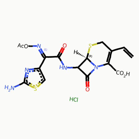 C=CC1=C(C(=O)O)N2C(=O)C(NC(=O)/C(=N/OC(C)=O)c3csc(N)n3)[C@H]2SC1.Cl